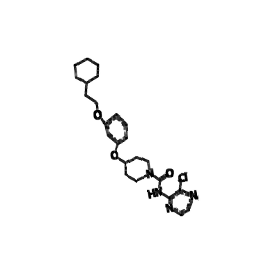 O=C(Nc1nccnc1Cl)N1CCC(Oc2cccc(OCCC3CCCCC3)c2)CC1